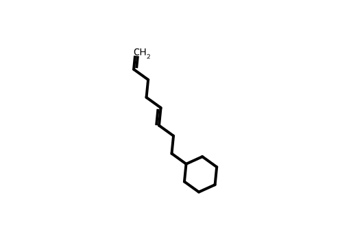 C=CCCC=CCCC1CCCCC1